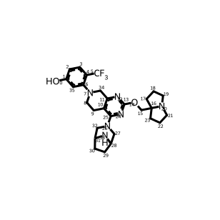 Oc1ccc(C(F)(F)F)c(N2CCc3c(nc(OCC45CCCN4CCC5)nc3N3CC4CCC(C3)N4)C2)c1